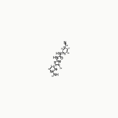 CNc1nccc(-c2sc(NC(=O)Nc3cccc(C#N)c3)nc2C)n1